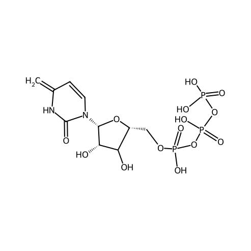 C=C1C=CN([C@@H]2O[C@H](COP(=O)(O)OP(=O)(O)OP(=O)(O)O)C(O)[C@@H]2O)C(=O)N1